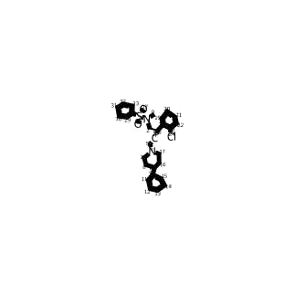 CN(C[C@H](CCN1CCC(c2ccccc2)CC1)c1ccccc1Cl)S(=O)(=O)c1ccccc1